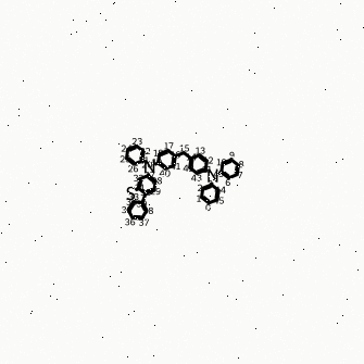 c1ccc(N(c2ccccc2)c2ccc(Cc3ccc(N(c4ccccc4)c4ccc5c(c4)sc4ccccc45)cc3)cc2)cc1